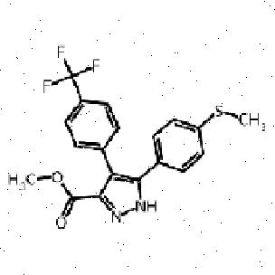 COC(=O)c1n[nH]c(-c2ccc(SC)cc2)c1-c1ccc(C(F)(F)F)cc1